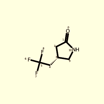 O=C1C[C@@H](CC(F)(F)F)CN1